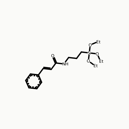 CCO[Si](CCCNC(=O)/C=C/c1ccccc1)(OCC)OCC